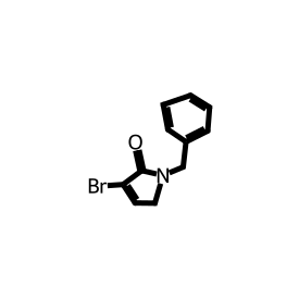 O=C1C(Br)=CCN1Cc1ccccc1